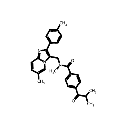 Cc1ccc(-c2nc3ccc(C)cn3c2CN(C)C(=O)c2ccc(C(=O)C(C)C)cc2)cc1